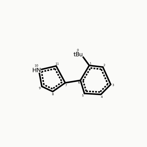 CC(C)(C)c1ccccc1-c1cc[nH]c1